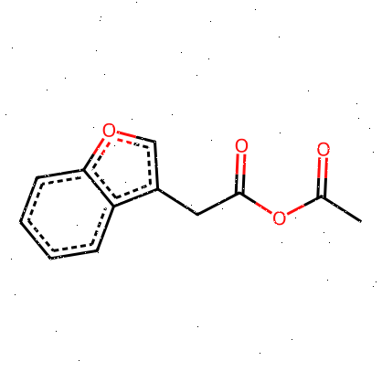 CC(=O)OC(=O)Cc1coc2ccccc12